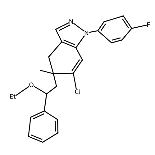 CCOC(CC1(C)Cc2cnn(-c3ccc(F)cc3)c2C=C1Cl)c1ccccc1